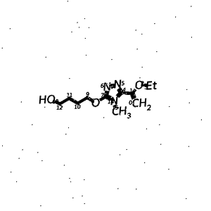 C=C(OCC)c1nnc(OCCCCO)n1C